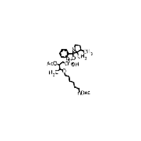 CCCCCCCCCCCCCCCCOC(C)C(COP(=O)(O)OC1(c2ccccc2)N2CCC(C)C21C)OC(C)=O